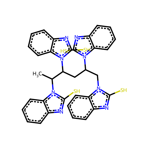 CC(C(CC(Cn1c(S)nc2ccccc21)n1c(S)nc2ccccc21)n1c(S)nc2ccccc21)n1c(S)nc2ccccc21